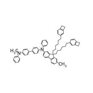 Cc1ccc2c(c1)C(CCCCCCc1ccc3c(c1)CC3)(CCCCCCc1ccc3c(c1)CC3)c1cc(N(c3ccccc3)c3ccc(-c4ccc(N(C)c5ccccc5)cc4)cc3)ccc1-2